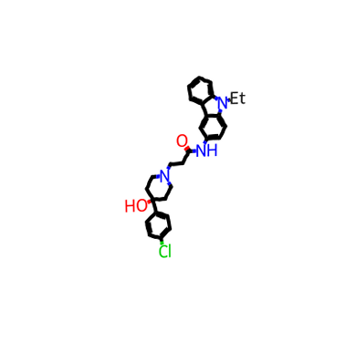 CCn1c2ccccc2c2cc(NC(=O)CCN3CCC(O)(c4ccc(Cl)cc4)CC3)ccc21